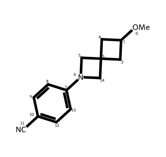 COC1CC2(C1)CN(c1ccc(C#N)cc1)C2